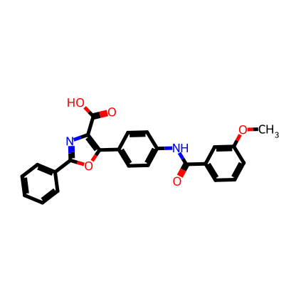 COc1cccc(C(=O)Nc2ccc(-c3oc(-c4ccccc4)nc3C(=O)O)cc2)c1